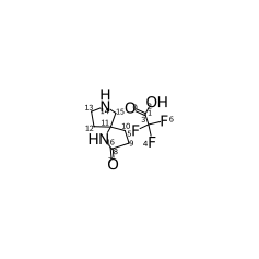 O=C(O)C(F)(F)F.O=C1CCC2(CCNC2)N1